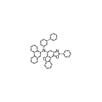 c1ccc(-c2cccc(N(c3cc4ccccc4c4ccccc34)c3cc4nc(-c5ccccc5)oc4c4c3oc3ccccc34)c2)cc1